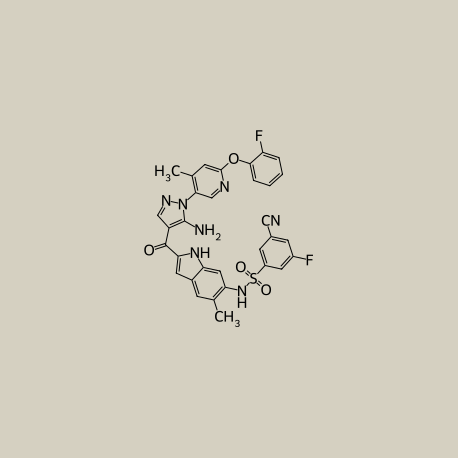 Cc1cc2cc(C(=O)c3cnn(-c4cnc(Oc5ccccc5F)cc4C)c3N)[nH]c2cc1NS(=O)(=O)c1cc(F)cc(C#N)c1